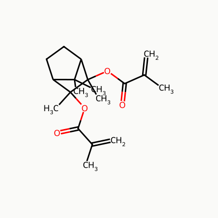 C=C(C)C(=O)OC1(C)C2CCC(C2(C)C)C1(C)OC(=O)C(=C)C